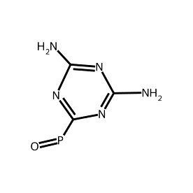 Nc1nc(N)nc(P=O)n1